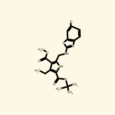 CCc1c(C(=O)OC(C)(C)C)[nH]c(CNc2nc3ccc(Cl)cc3s2)c1C(=O)OC